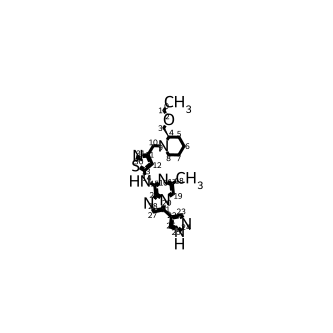 CCOC[C@H]1CCCCN1Cc1cc(Nc2nc(C)cn3c(-c4cn[nH]c4)cnc23)sn1